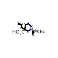 C=CCC1(C(=O)O)CCCN(C(=C)SC(C)(C)C)C1